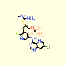 BC(B)(B)OC[C@@](C)(Cc1cc(Nc2ncnc3cc(Cl)cnc23)cnc1F)S/C(N)=N\C